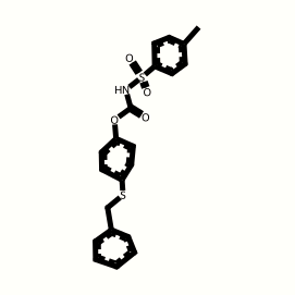 Cc1ccc(S(=O)(=O)NC(=O)Oc2ccc(SCc3ccccc3)cc2)cc1